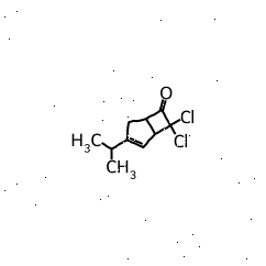 CC(C)C1=CC2C(C1)C(=O)C2(Cl)Cl